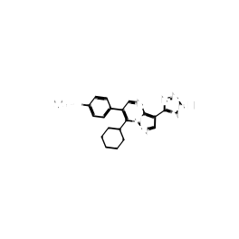 COc1ccc(-c2cnc3c(-c4nn[nH]n4)cnn3c2C2CCCCC2)cc1